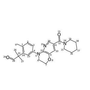 Cc1ccc(N2CCOc3cc(C(=O)N4CCCCC4)cnc32)cc1C(C)(C)C=O